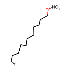 CC(C)CCCCCCCCCCO[N+](=O)[O-]